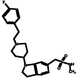 CNS(=O)(=O)Cc1ccc2c(c1)N(C1CCN(CCc3ccc(F)cc3)CC1)CC2